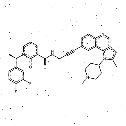 Cc1nc2cnc3ccc(C#CCNC(=O)c4cccn([C@H](C)c5ccc(F)c(F)c5)c4=O)cc3c2n1C1CCN(C)CC1